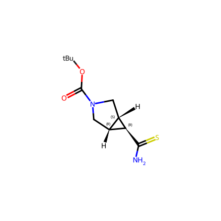 CC(C)(C)OC(=O)N1C[C@@H]2[C@H](C1)[C@H]2C(N)=S